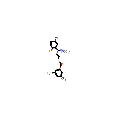 O=C(O)N[C@@H](CCC[C@@H]1O[C@H]1c1cc(C(F)(F)F)cc(C(F)(F)F)c1)c1cc(C(F)(F)F)ccc1Br